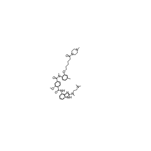 COc1cc(C(=O)N(C)c2ccc(C)cc2OCCCCCC(=O)N2CCN(C)CC2)ccc1C(=O)Nc1cccc2[nH]c(N(C)CCN(C)C)nc12